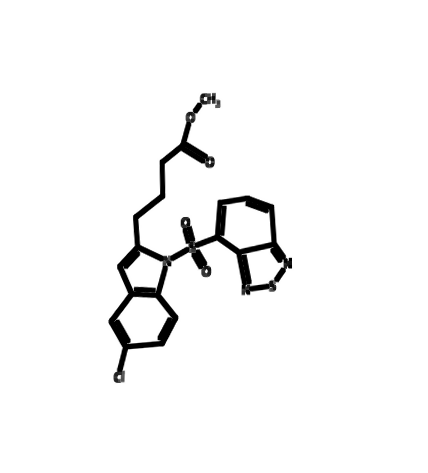 COC(=O)CCCc1cc2cc(Cl)ccc2n1S(=O)(=O)c1cccc2nsnc12